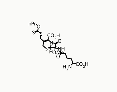 CCCOC(=S)SCC1=C(C(=O)O)N2C(=O)[C@](NC(=O)CCCC(N)C(=O)O)(OC)[C@@H]2SC1